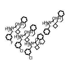 NC(=O)[C@]1(N2CCc3ccccc32)CC[C@@H]1C(N)c1cccc(Cl)c1.NC(=O)[C@]1([C@H]2CCc3ccccc3N2)CC[C@@H]1C(N)c1cccc(Cl)c1.NC(=O)[C@]1([C@H]2CCc3ccccc3N2)CC[C@@H]1C(N)c1cccc(F)c1.NC(=O)[C@]1([C@H]2CCc3ccccc3N2)CC[C@@H]1C(N)c1ccccc1